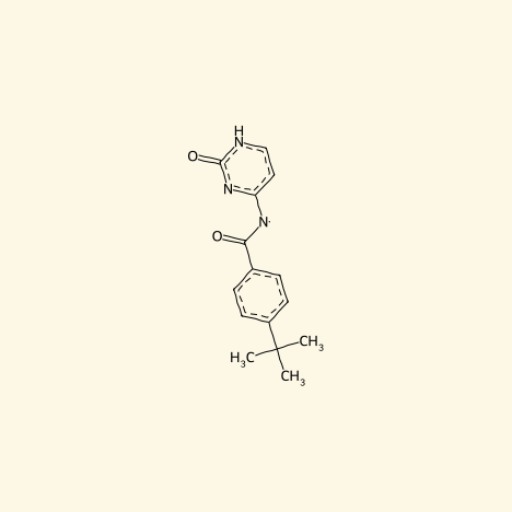 CC(C)(C)c1ccc(C(=O)[N]c2cc[nH]c(=O)n2)cc1